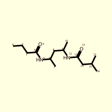 CCCC(=O)NC(C)CC(C)NC(=O)CC(C)C